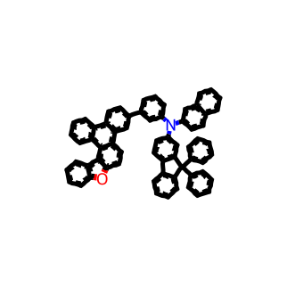 c1ccc(C2(c3ccccc3)c3ccccc3-c3ccc(N(c4cccc(-c5ccc6c7ccccc7c7c(ccc8oc9ccccc9c87)c6c5)c4)c4ccc5ccccc5c4)cc32)cc1